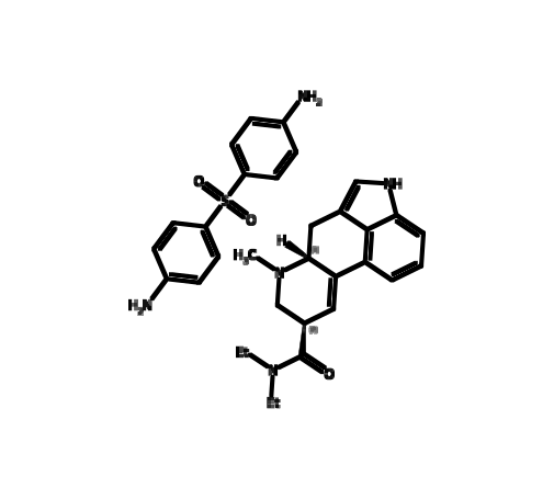 CCN(CC)C(=O)[C@@H]1C=C2c3cccc4[nH]cc(c34)C[C@H]2N(C)C1.Nc1ccc(S(=O)(=O)c2ccc(N)cc2)cc1